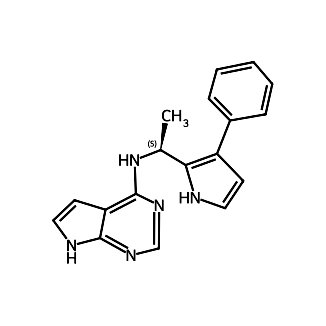 C[C@H](Nc1ncnc2[nH]ccc12)c1[nH]ccc1-c1ccccc1